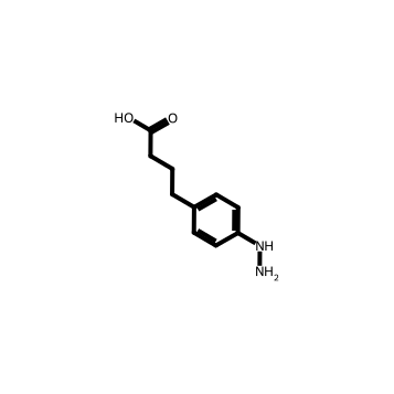 NNc1ccc(CCCC(=O)O)cc1